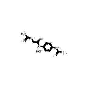 CC(=O)Nc1ccc(OC(=O)CNC(=N)N)cc1.Cl